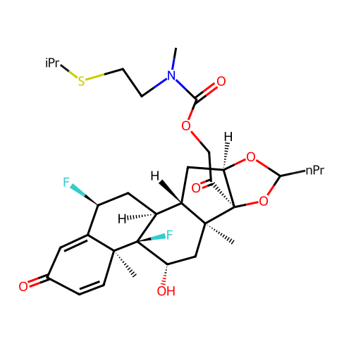 CCCC1O[C@@H]2C[C@H]3[C@@H]4C[C@H](F)C5=CC(=O)C=C[C@]5(C)[C@@]4(F)[C@@H](O)C[C@]3(C)[C@]2(C(=O)COC(=O)N(C)CCSC(C)C)O1